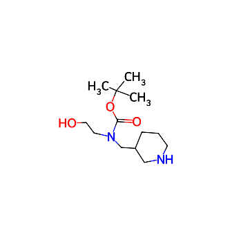 CC(C)(C)OC(=O)N(CCO)CC1CCCNC1